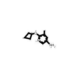 Cc1cc(N)cnc1OC1CCC1